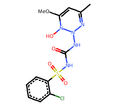 COC1=CC(C)=NN(NC(=O)NS(=O)(=O)c2ccccc2Cl)N1O